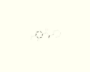 CC(C)c1ccc(NC(=O)C2CCCCC2)cc1F